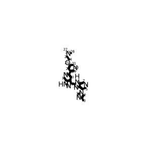 Cc1cn(-c2cncc3[nH]c(-c4n[nH]c5cnc(-c6cncc(OCCN(C)C)c6)cc45)nc23)cn1